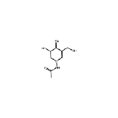 CC(=O)NN1CC(O)C(O)C(CO)C1